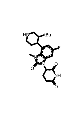 Cn1c(=O)n(C2CCC(=O)NC2=O)c2cc(F)cc(C3CCNCC3C(C)(C)C)c21